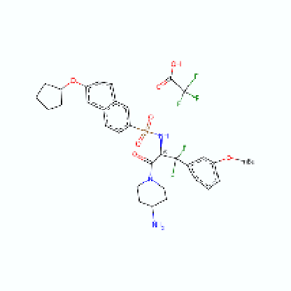 CCCCOc1cccc(C(F)(F)[C@H](NS(=O)(=O)c2ccc3cc(OC4CCCC4)ccc3c2)C(=O)N2CCC(N)CC2)c1.O=C(O)C(F)(F)F